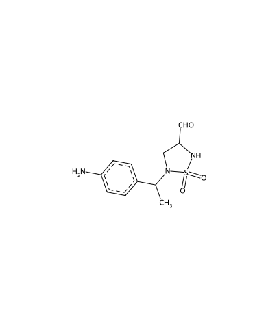 CC(c1ccc(N)cc1)N1CC(C=O)NS1(=O)=O